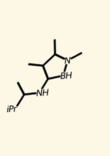 CC(C)C(C)NC1BN(C)C(C)C1C